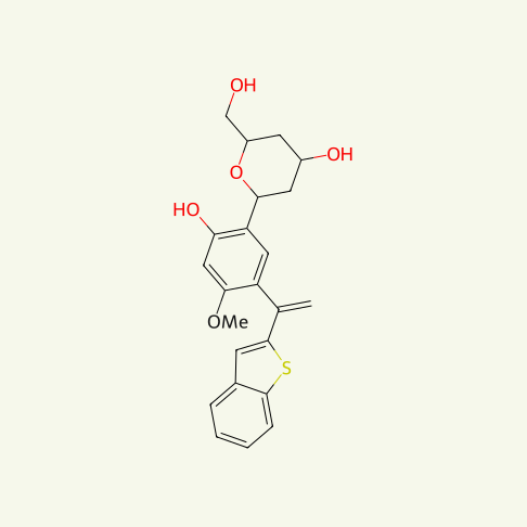 C=C(c1cc2ccccc2s1)c1cc(C2CC(O)CC(CO)O2)c(O)cc1OC